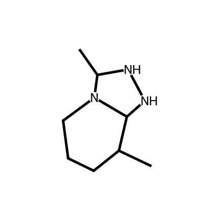 CC1CCCN2C(C)NNC12